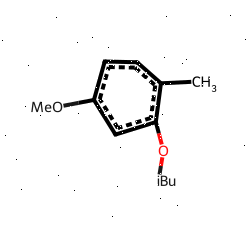 CCC(C)Oc1cc(OC)ccc1C